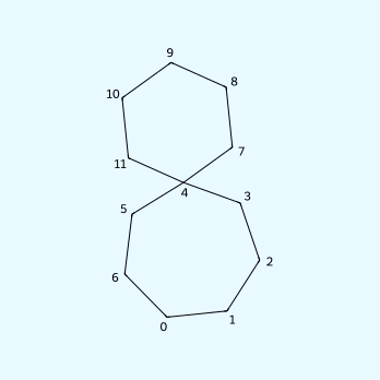 C1CCCC2(CC1)CCCCC2